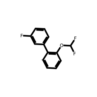 Fc1cccc(-c2[c]cccc2OC(F)F)c1